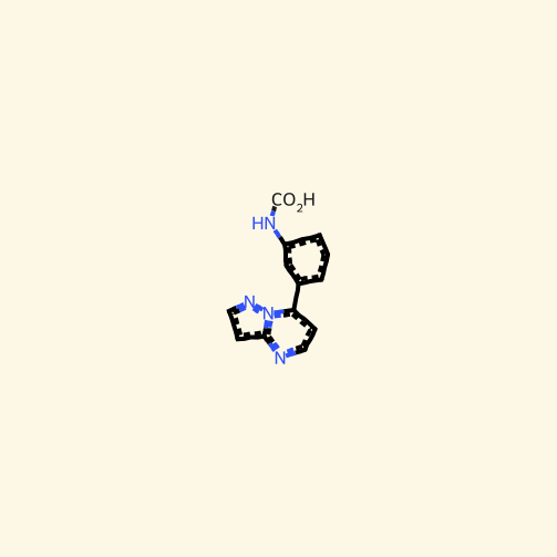 O=C(O)Nc1cccc(-c2ccnc3ccnn23)c1